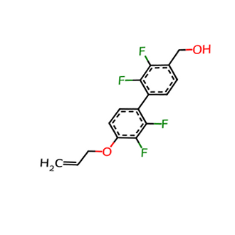 C=CCOc1ccc(-c2ccc(CO)c(F)c2F)c(F)c1F